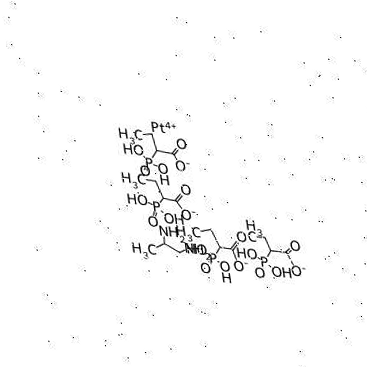 CC(N)CN.CCC(C(=O)[O-])P(=O)(O)O.CCC(C(=O)[O-])P(=O)(O)O.CCC(C(=O)[O-])P(=O)(O)O.CCC(C(=O)[O-])P(=O)(O)O.[Pt+4]